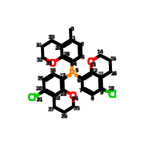 Cc1ccc(P(c2ccc(Cl)c3c2OCCC3)c2ccc(Cl)c3c2OCCC3)c2c1CCCO2